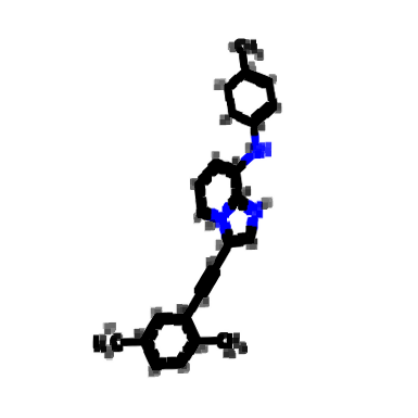 CC1=CC=C(Nc2cccn3c(C#Cc4cc(C)ccc4C)cnc23)CC1